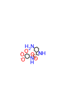 COc1cc(NS(=O)(=O)c2c[nH]c3ccc(N)cc23)cc(OC)c1OC